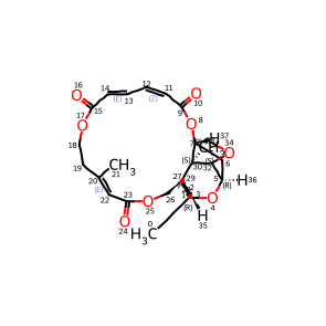 CC1=C[C@H]2O[C@@H]3C[C@H]4OC(=O)/C=C\C=C\C(=O)OCC/C(C)=C/C(=O)OC[C@@]2(CC1)[C@]4(C)[C@]31CO1